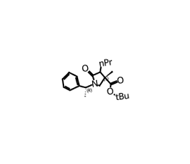 CCCC1C(=O)N([C@H](C)c2ccccc2)C[C@@]1(C)C(=O)OC(C)(C)C